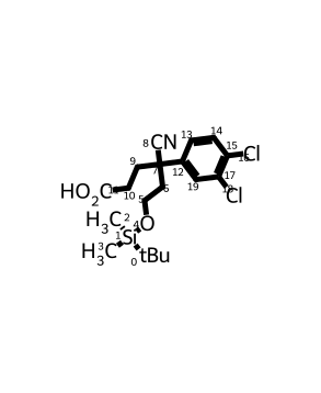 CC(C)(C)[Si](C)(C)OCCC(C#N)(CCC(=O)O)c1ccc(Cl)c(Cl)c1